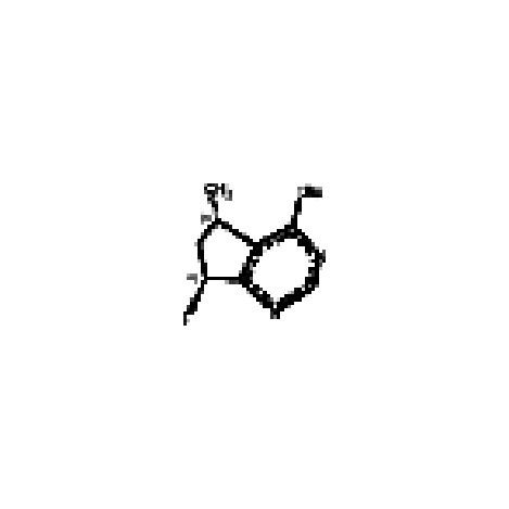 C[C@H]1C[C@H](F)c2ncnc(C(C)(C)C)c21